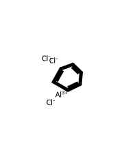 [Al+3].[Cl-].[Cl-].[Cl-].c1ccccc1